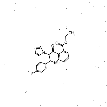 CCOC(=O)c1cccc2c1C(=O)C(n1cccn1)C(c1ccc(F)cc1)N2